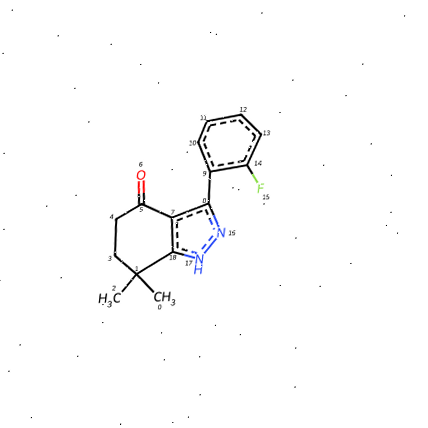 CC1(C)CCC(=O)c2c(-c3ccccc3F)n[nH]c21